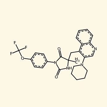 CC1(Cc2c(N3CCCCC3)cnc3ccccc23)NC(=O)N(c2ccc(OC(F)(F)F)cc2)C1=O